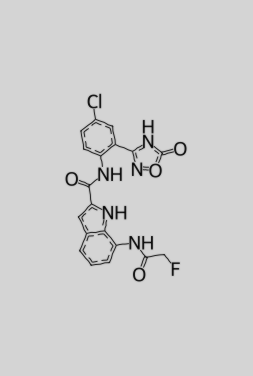 O=C(CF)Nc1cccc2cc(C(=O)Nc3ccc(Cl)cc3-c3noc(=O)[nH]3)[nH]c12